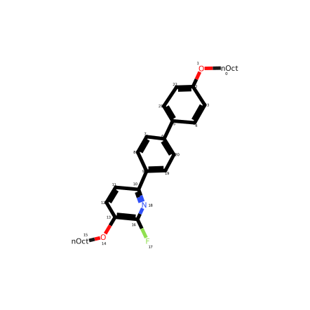 CCCCCCCCOc1ccc(-c2ccc(-c3ccc(OCCCCCCCC)c(F)n3)cc2)cc1